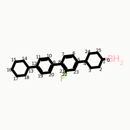 BC1CCC(c2ccc(-c3ccc(C4CCCCC4)cc3)c(F)c2)CC1